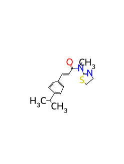 CC(C)c1ccc(/C=C/C(=O)N(C)C2=NCCS2)cc1